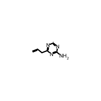 C=CCc1n[c]nc(N)n1